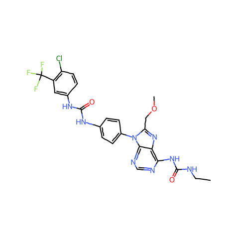 CCNC(=O)Nc1ncnc2c1nc(COC)n2-c1ccc(NC(=O)Nc2ccc(Cl)c(C(F)(F)F)c2)cc1